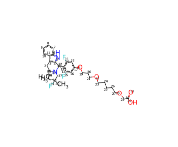 C[C@@H]1Cc2c([nH]c3ccccc23)[C@@H](c2c(F)cc(OCCCOCCCCCOCC(=O)O)cc2F)N1CC(C)(C)F